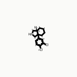 Clc1ccc(C23CCCC[C@H]2CNC3)cc1Cl